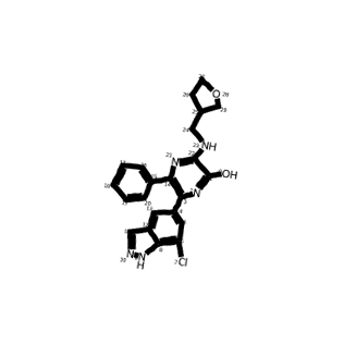 Oc1nc(-c2cc(Cl)c3[nH]ncc3c2)c(-c2ccccc2)nc1NCC1CCOC1